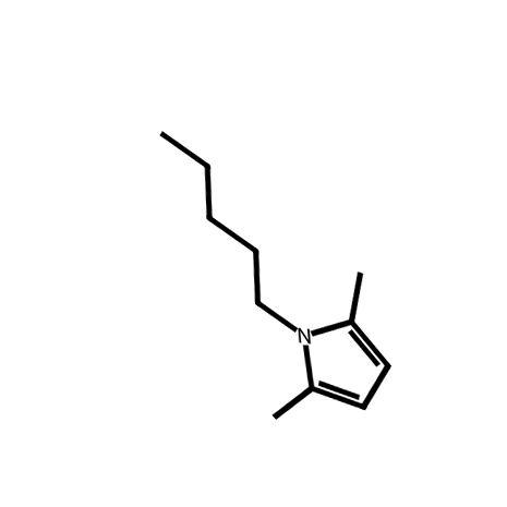 CCCCCn1c(C)ccc1C